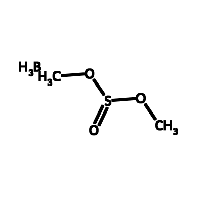 B.COS(=O)OC